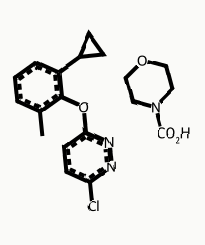 Cc1cccc(C2CC2)c1Oc1ccc(Cl)nn1.O=C(O)N1CCOCC1